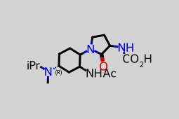 CC(=O)NC1C[C@H](N(C)C(C)C)CCC1N1CCC(NC(=O)O)C1=O